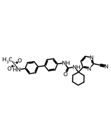 CS(=O)(=O)Nc1ccc(-c2ccc(NC(=O)NC3(c4ccnc(C#N)n4)CCCCC3)cc2)cc1